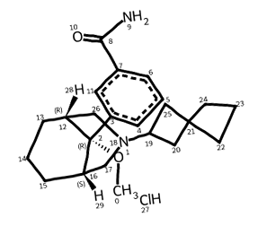 CO[C@@]1(c2cccc(C(N)=O)c2)[C@@H]2CCC[C@H]1CN(C1CC3(CCC3)C1)C2.Cl